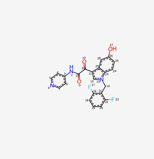 O=C(Nc1ccncc1)C(=O)c1cn(Cc2c(F)cccc2F)c2ccc(O)cc12